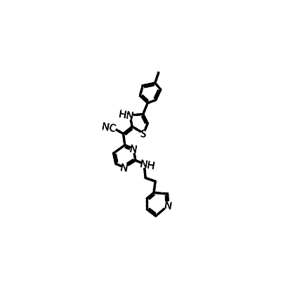 Cc1ccc(C2=CSC(=C(C#N)c3ccnc(NCCc4cccnc4)n3)N2)cc1